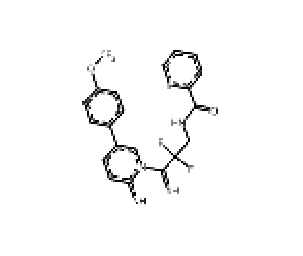 N=C(n1cc(-c2ccc(OC(F)(F)F)cc2)ccc1=N)C(F)(F)CNC(=O)c1ccccn1